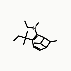 CCN(C)C1=C(C(C)(C)CC)C=CC2C(C)C1C2C